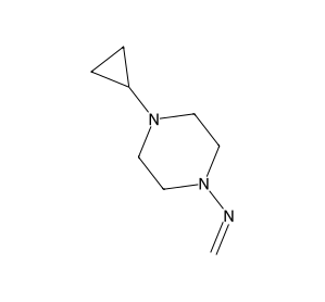 C=NN1CCN(C2CC2)CC1